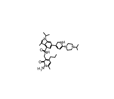 CCCc1cc(C)n(N)c(=O)c1CNC(=O)c1cc(C2=CC=C(N3CCN(C(C)C)CC3)NC2)cc2c1c(C)cn2C(C)C